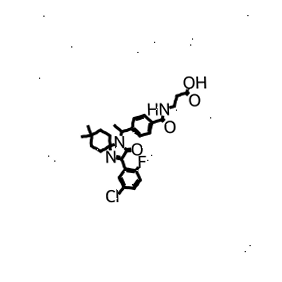 CC(c1ccc(C(=O)NCCC(=O)O)cc1)N1C(=O)C(c2cc(Cl)ccc2F)=NC12CCC(C)(C)CC2